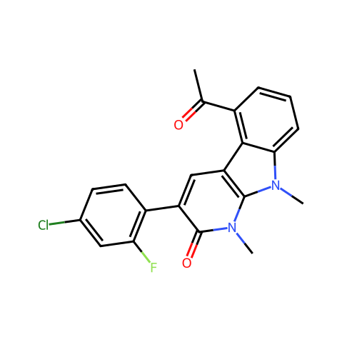 CC(=O)c1cccc2c1c1cc(-c3ccc(Cl)cc3F)c(=O)n(C)c1n2C